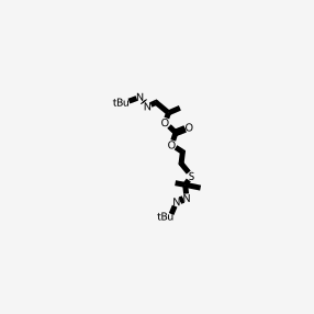 CC(C/N=N/C(C)(C)C)OC(=O)OCCSC(C)(C)/N=N/C(C)(C)C